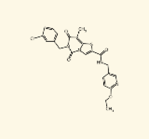 CCOc1ccc(CNC(=O)c2cn3c(=O)n(Cc4cccc(Cl)c4)c(=O)c(C)c3s2)cn1